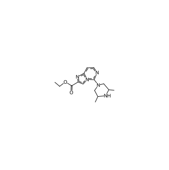 CCOC(=O)c1cn2c(N3CC(C)NC(C)C3)nccc2n1